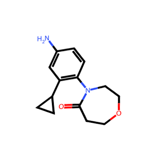 Nc1ccc(N2CCOCCC2=O)c(C2CC2)c1